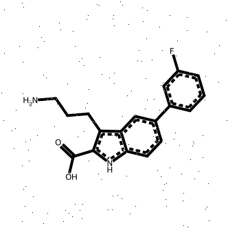 NCCCc1c(C(=O)O)[nH]c2ccc(-c3cccc(F)c3)cc12